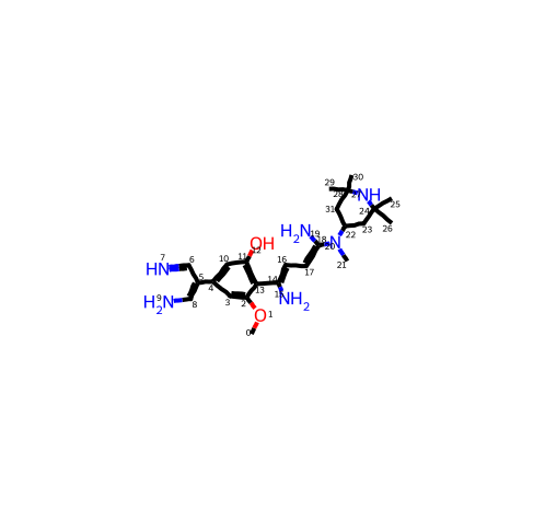 COc1cc(/C(C=N)=C/N)cc(O)c1/C(N)=C/C=C(\N)N(C)C1CC(C)(C)NC(C)(C)C1